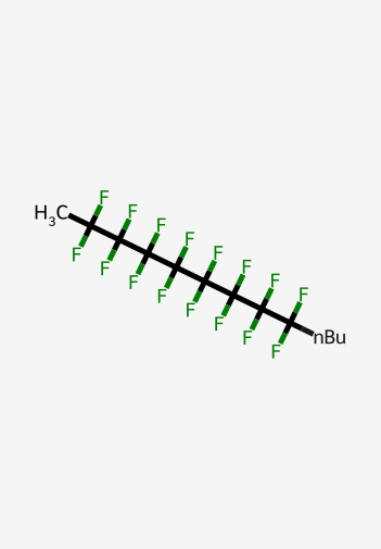 CCCCC(F)(F)C(F)(F)C(F)(F)C(F)(F)C(F)(F)C(F)(F)C(F)(F)C(C)(F)F